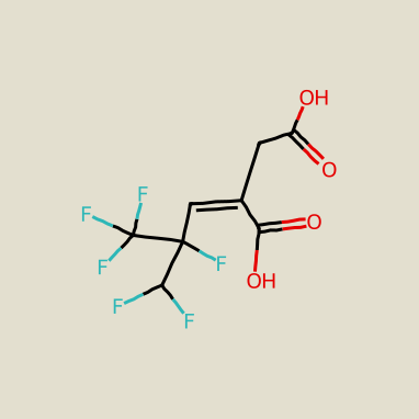 O=C(O)CC(=CC(F)(C(F)F)C(F)(F)F)C(=O)O